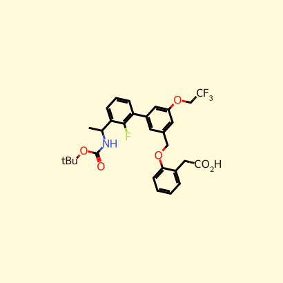 CC(NC(=O)OC(C)(C)C)c1cccc(-c2cc(COc3ccccc3CC(=O)O)cc(OCC(F)(F)F)c2)c1F